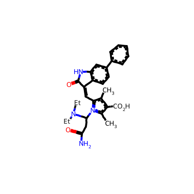 CCN(CC)C(CC(N)=O)n1c(C)c(C(=O)O)c(C)c1C=C1C(=O)Nc2cc(-c3ccccc3)ccc21